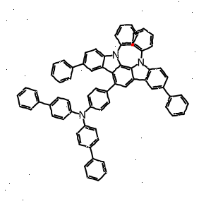 c1ccc(-c2ccc(N(c3ccc(-c4ccccc4)cc3)c3ccc(-c4cc5c6cc(-c7ccccc7)ccc6n(-c6ccccc6)c5c5c4c4cc(-c6ccccc6)ccc4n5-c4ccccc4)cc3)cc2)cc1